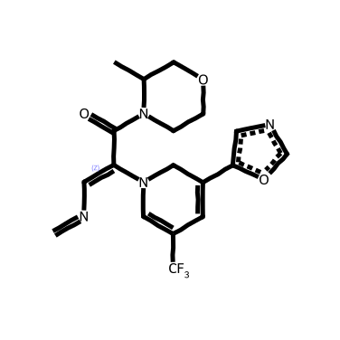 C=N/C=C(/C(=O)N1CCOCC1C)N1C=C(C(F)(F)F)C=C(c2cnco2)C1